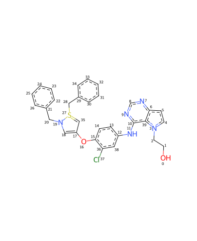 OCCn1ccc2ncnc(Nc3ccc(OC4=CN(Cc5ccccc5)S(Cc5ccccc5)=C4)c(Cl)c3)c21